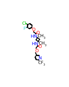 CC1(NC(=O)COCc2ccc(C(F)(F)F)nc2)CC(C)(NC(=O)COc2ccc(Cl)c(F)c2)C1